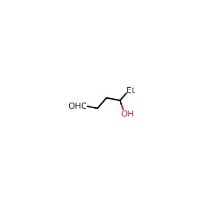 CCC(O)CCC=O